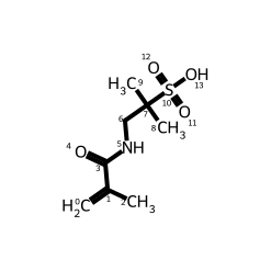 C=C(C)C(=O)NCC(C)(C)S(=O)(=O)O